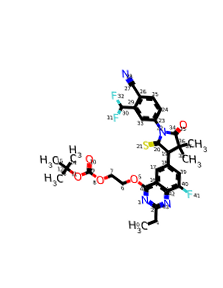 CCc1nc(OCCOC(=O)OC(C)(C)C)c2cc(C3C(=S)N(c4ccc(C#N)c(C(F)F)c4)C(=O)C3(C)C)cc(F)c2n1